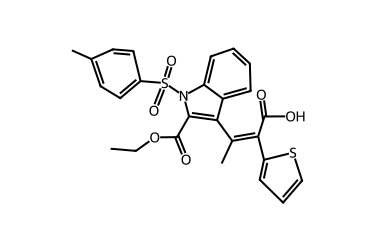 CCOC(=O)c1c(C(C)=C(C(=O)O)c2cccs2)c2ccccc2n1S(=O)(=O)c1ccc(C)cc1